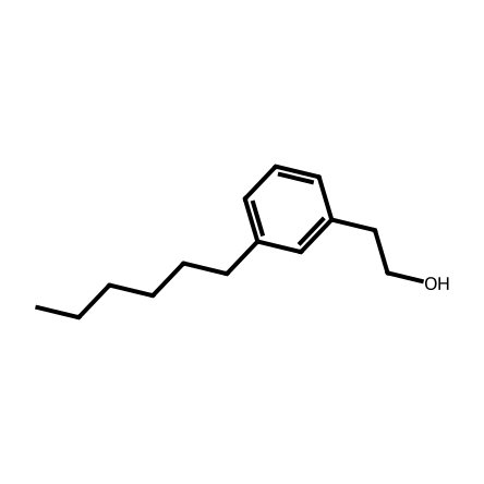 CCCCCCc1cccc(CCO)c1